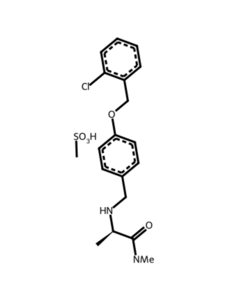 CNC(=O)[C@@H](C)NCc1ccc(OCc2ccccc2Cl)cc1.CS(=O)(=O)O